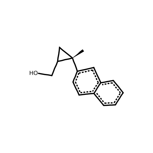 C[C@]1(c2ccc3ccccc3c2)CC1CO